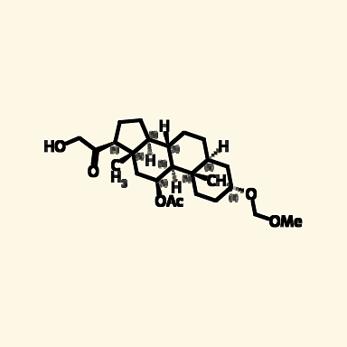 COCO[C@@H]1CC[C@@]2(C)[C@@H](CC[C@@H]3[C@@H]2[C@@H](OC(C)=O)C[C@]2(C)[C@@H](C(=O)CO)CC[C@@H]32)C1